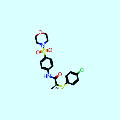 C[C@H](Sc1ccc(Cl)cc1)C(=O)Nc1ccc(S(=O)(=O)N2CCOCC2)cc1